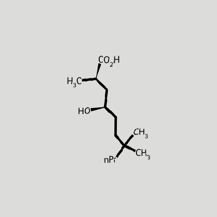 CCCC(C)(C)CC[C@@H](O)C[C@@H](C)C(=O)O